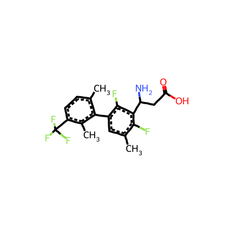 Cc1cc(-c2c(C)ccc(C(F)(F)F)c2C)c(F)c(C(N)CC(=O)O)c1F